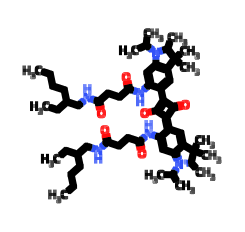 CCCCC(CC)CNC(=O)CCC(=O)Nc1cc2c(cc1C1=C([O-])/C(=c3/cc4c(cc3NC(=O)CCC(=O)NCC(CC)CCCC)=[N+](C(C)C)C(C)C4(C)C)C1=O)C(C)(C)C(C)N2C(C)C